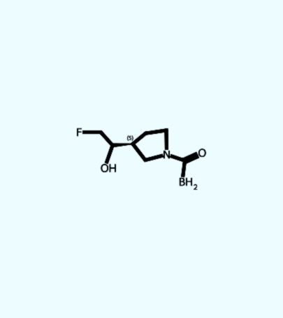 BC(=O)N1CC[C@H](C(O)CF)C1